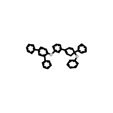 C1=CC(Oc2ccccc2)(c2ccccc2)CC=C1c1cccc(Oc2ccc(-c3ccccc3)cc2-c2ccccc2)c1